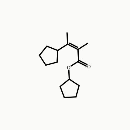 CC(C(=O)OC1CCCC1)=C(C)C1CCCC1